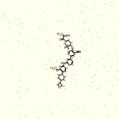 COc1nc(Nc2nccc(-c3cc(C#N)c(OC4CCN(C(=O)C(C)O)CC4(F)F)cn3)n2)ccc1N1CCN(C2COC2)CC1